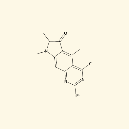 Cc1c2c(cc3nc(C(C)C)nc(Cl)c13)N(C)C(C)C2=O